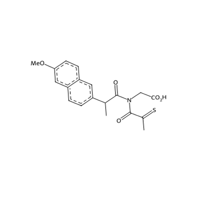 COc1ccc2cc(C(C)C(=O)N(CC(=O)O)C(=O)C(C)=S)ccc2c1